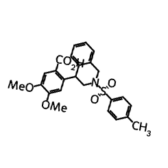 COc1cc(C(=O)O)c(C2CN(S(=O)(=O)c3ccc(C)cc3)Cc3ccccc32)cc1OC